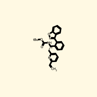 C=Cc1cccc(C[C@H](NC(=O)OC(C)(C)C)c2ccccc2-c2noc3ccccc23)n1